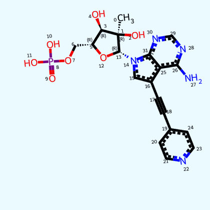 C[C@@]1(O)[C@H](O)[C@@H](COP(=O)(O)O)O[C@H]1n1cc(C#Cc2ccncc2)c2c(N)ncnc21